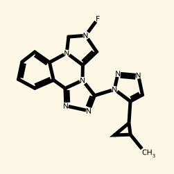 CC1CC1c1cnnn1-c1nnc2n1C1=CN(F)CN1c1ccccc1-2